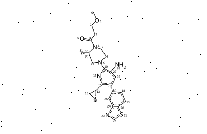 COCCC(=O)N1CCN(c2nc(C3CC3)c(-c3ccc4scnc4c3)cc2N)C[C@H]1C